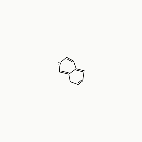 C1=CCC2=COC=CC2=C1